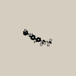 CC(=O)NC[C@H]1CN(c2ccc(-c3ccc(CNC4CN5CCC4CC5)cc3)c(F)c2)C(=O)O1